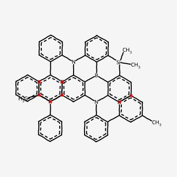 Cc1ccnc(-c2ccccc2N2c3cc(N(c4ccccc4)c4ccccc4)cc4c3B3c5c2cccc5[Si](C)(C)c2cccc(c23)N4c2ccccc2-c2cc(C)ccn2)c1